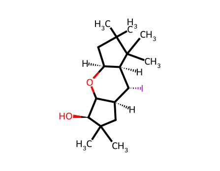 CC1(C)C[C@H]2C(O[C@H]3CC(C)(C)C(C)(C)[C@H]3[C@@H]2I)[C@@H]1O